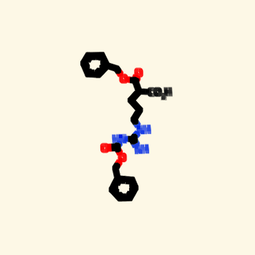 N=C(NCCCC(C(=O)O)C(=O)OCc1ccccc1)NC(=O)OCc1ccccc1